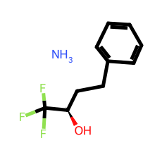 N.O[C@H](CCc1ccccc1)C(F)(F)F